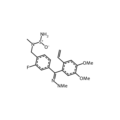 C=Cc1cc(OC)c(OC)cc1/C(=N\NC)c1ccc(CN(C)[S+](N)[O-])c(F)c1